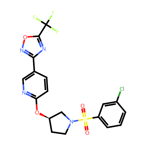 O=S(=O)(c1cccc(Cl)c1)N1CC[C@@H](Oc2ccc(-c3noc(C(F)(F)F)n3)cn2)C1